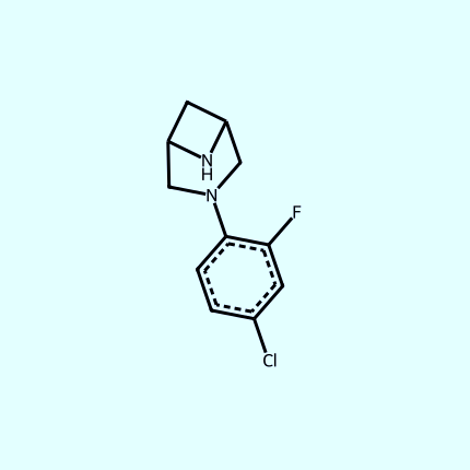 Fc1cc(Cl)ccc1N1CC2CC(C1)N2